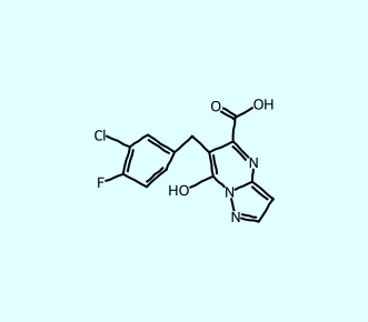 O=C(O)c1nc2ccnn2c(O)c1Cc1ccc(F)c(Cl)c1